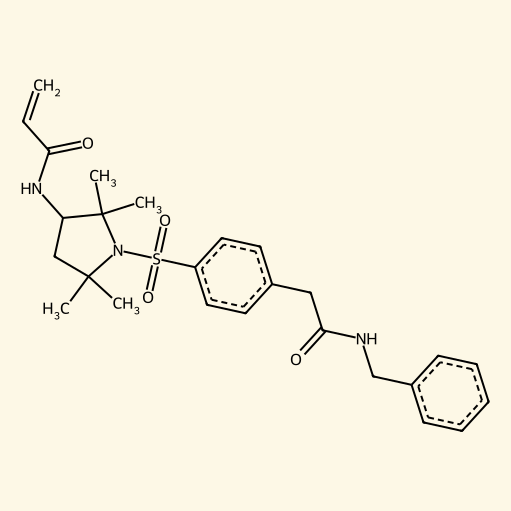 C=CC(=O)NC1CC(C)(C)N(S(=O)(=O)c2ccc(CC(=O)NCc3ccccc3)cc2)C1(C)C